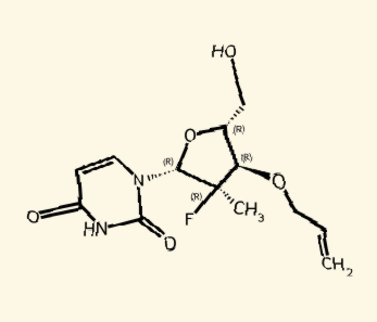 C=CCO[C@@H]1[C@@H](CO)O[C@@H](n2ccc(=O)[nH]c2=O)[C@]1(C)F